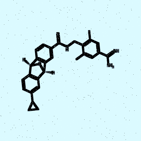 Cc1cc(C(=N)N)cc(C)c1CNC(=O)c1ccc2c(c1)[C@@H]1O[C@H]2c2ccc(C3CC3)cc21